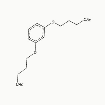 CC(=O)OCCCOc1cccc(OCCCOC(C)=O)c1